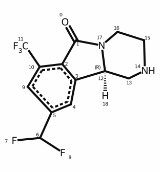 O=C1c2c(cc(C(F)F)cc2C(F)(F)F)[C@@H]2CNCCN12